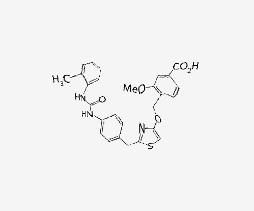 COc1cc(C(=O)O)ccc1COc1csc(Cc2ccc(NC(=O)Nc3ccccc3C)cc2)n1